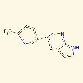 FC(F)(F)c1ccc(-c2cnc3[nH]ccc3c2)cn1